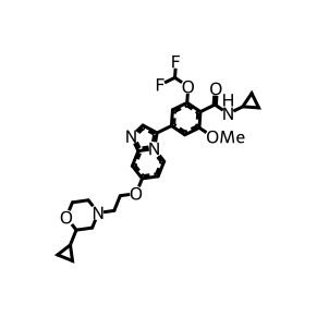 COc1cc(-c2cnc3cc(OCCN4CCOC(C5CC5)C4)ccn23)cc(OC(F)F)c1C(=O)NC1CC1